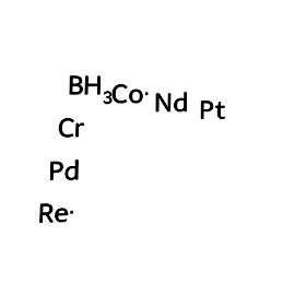 B.[Co].[Cr].[Nd].[Pd].[Pt].[Re]